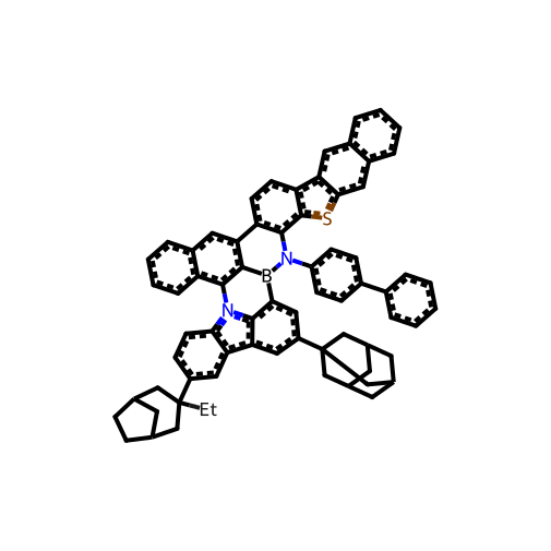 CCC1(c2ccc3c(c2)c2cc(C45CC6CC(CC(C6)C4)C5)cc4c2n3-c2c3c(cc5ccccc25)-c2ccc5c(sc6cc7ccccc7cc65)c2N(c2ccc(-c5ccccc5)cc2)B34)CC2CCC(C2)C1